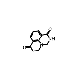 O=C1CCN2CNC(=O)c3cccc1c32